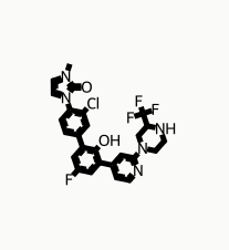 Cn1ccn(-c2ccc(-c3cc(F)cc(-c4ccnc(N5CCNC(C(F)(F)F)C5)c4)c3O)cc2Cl)c1=O